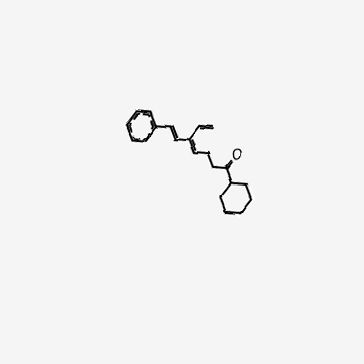 C=CC(/C=C/c1ccccc1)=C\CCC(=O)C1CCCCC1